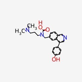 CN(C)CCCN(Cc1ccc2cncc(-c3ccc(O)cc3)c2c1)C(=O)O